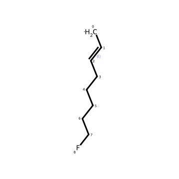 [CH2]/C=C/CCCCCF